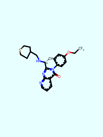 C[C@@H](NCC1CCSCC1)c1nc2ncccc2c(=O)n1-c1ccc(OCC(F)(F)F)cc1